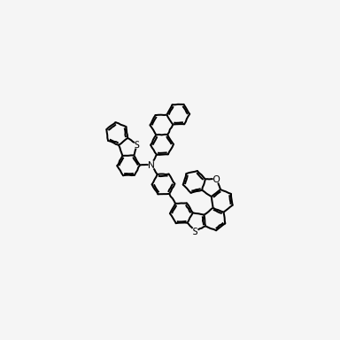 c1ccc2c(c1)ccc1cc(N(c3ccc(-c4ccc5sc6ccc7ccc8oc9ccccc9c8c7c6c5c4)cc3)c3cccc4c3sc3ccccc34)ccc12